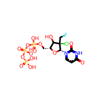 O=c1ccn([C@@H]2O[C@H](COP(=O)(O)OP(=O)(O)OP(=O)(O)O)C(O)[C@]2(Cl)CF)c(=O)[nH]1